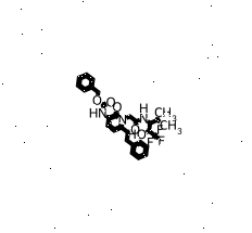 CC(C)C(NC(=O)Cn1c(CCc2ccccc2)ccc(NC(=O)OCc2ccccc2)c1=O)C(O)C(F)(F)F